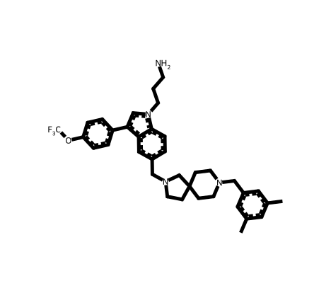 Cc1cc(C)cc(CN2CCC3(CC2)CCN(Cc2ccc4c(c2)c(-c2ccc(OC(F)(F)F)cc2)cn4CCCN)C3)c1